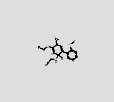 CSc1ccccc1C1=CC(S)C(OCF)=CC1(C)OCF